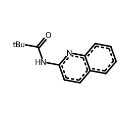 CC(C)(C)C(=O)Nc1ccc2ccccc2n1